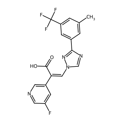 Cc1cc(-c2ncn(C=C(C(=O)O)c3cncc(F)c3)n2)cc(C(F)(F)F)c1